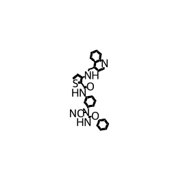 N#CN(C(=N)Oc1ccccc1)c1cccc(NC(=O)c2sccc2NCc2ccnc3ccccc23)c1